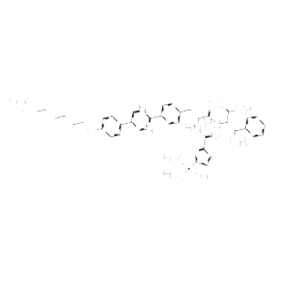 CCCCCCCOc1ccc(-c2cnc(-c3ccc(CC(NC(=O)c4ccc(C(C)(C)C)s4)C(=O)NC(C(=O)O)C(O)c4ccccc4)cc3)nc2)cc1